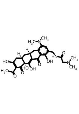 CC(=O)C1=C(O)C[C@H]2C[C@H]3Cc4c(N(C)C)cc(CNC(=O)CN(C)C)c(O)c4C(=O)C3=C(O)[C@@]2(O)C1=O